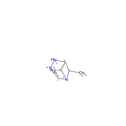 CC1C2NN=CN1C2C